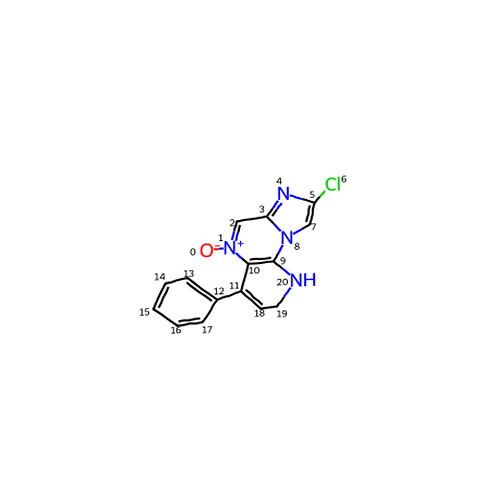 [O-][n+]1cc2nc(Cl)cn2c2c1C(c1ccccc1)=CCN2